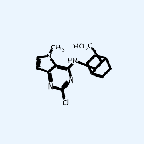 Cn1ccc2nc(Cl)nc(NC3C4CCC(CC4)C3C(=O)O)c21